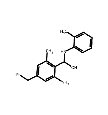 Cc1ccccc1NC(O)c1c(C)cc(CC(C)C)cc1N